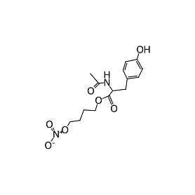 CC(=O)NC(Cc1ccc(O)cc1)C(=O)OCCCCO[N+](=O)[O-]